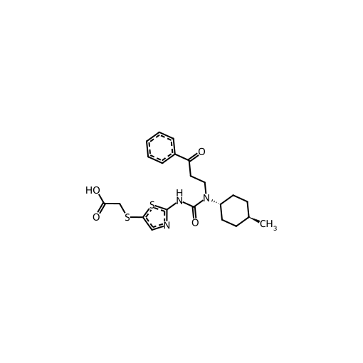 C[C@H]1CC[C@H](N(CCC(=O)c2ccccc2)C(=O)Nc2ncc(SCC(=O)O)s2)CC1